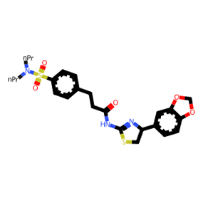 CCCN(CCC)S(=O)(=O)c1ccc(CCC(=O)NC2=NC(c3ccc4c(c3)OCO4)CS2)cc1